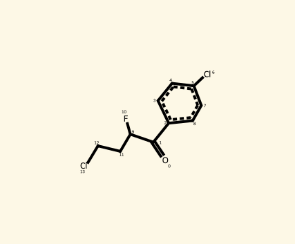 O=C(c1ccc(Cl)cc1)C(F)CCCl